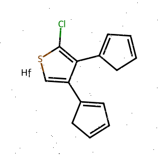 Clc1scc(C2=CC=CC2)c1C1=CC=CC1.[Hf]